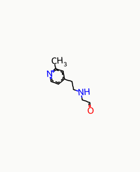 Cc1cc(CCNCC=O)ccn1